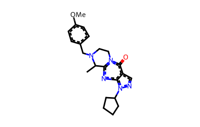 COc1ccc(CN2CCn3c(nc4c(cnn4C4CCCC4)c3=O)C2C)cc1